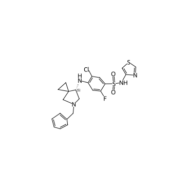 O=S(=O)(Nc1cscn1)c1cc(Cl)c(N[C@@H]2CN(Cc3ccccc3)CC23CC3)cc1F